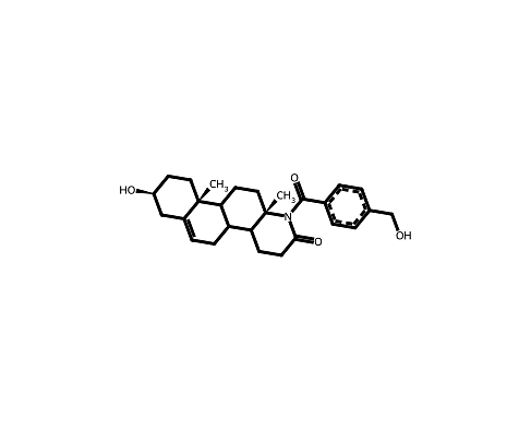 C[C@]12CC[C@H](O)CC1=CCC1C2CC[C@@]2(C)C1CCC(=O)N2C(=O)c1ccc(CO)cc1